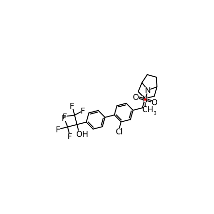 CS(=O)(=O)N1C2CCC1CN(Cc1ccc(-c3ccc(C(O)(C(F)(F)F)C(F)(F)F)cc3)c(Cl)c1)C2